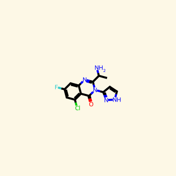 CC(N)c1nc2cc(F)cc(Cl)c2c(=O)n1-c1cc[nH]n1